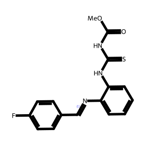 COC(=O)NC(=S)Nc1ccccc1/N=C/c1ccc(F)cc1